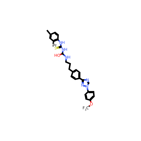 Cc1ccc(NC(=S)NC(O)NCCCc2ccc(-c3ncn(-c4ccc(OC(F)(F)F)cc4)n3)cc2)c(C(C)C)c1